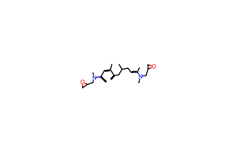 C=C(CC(C)C/C=C(\C)N(C)CC1CO1)/C(C)=C\C(=C)N(C)CC1CO1